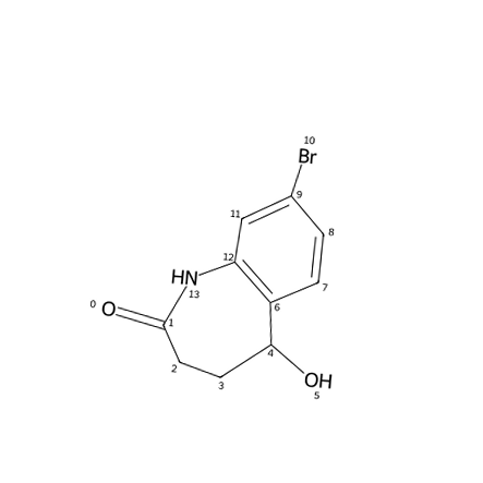 O=C1CCC(O)c2ccc(Br)cc2N1